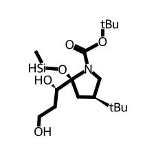 C[SiH](C)O[C@]1([C@@H](O)CCO)C[C@H](C(C)(C)C)CN1C(=O)OC(C)(C)C